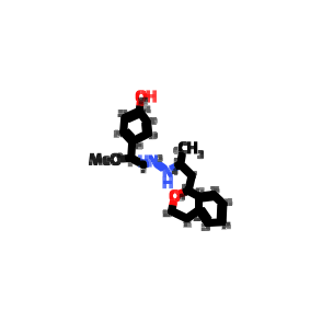 COC(CNNC(C)CC1OCCc2ccccc21)c1ccc(O)cc1